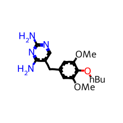 CCCCOc1c(OC)cc(Cc2cnc(N)nc2N)cc1OC